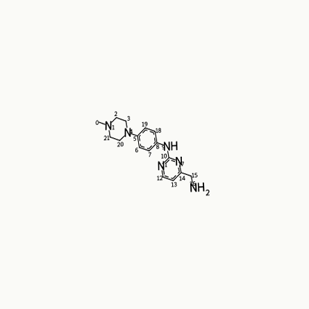 CN1CCN(c2ccc(Nc3nccc(CN)n3)cc2)CC1